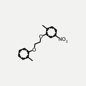 Cc1ccccc1OCCOc1cc([N+](=O)[O-])ccc1C